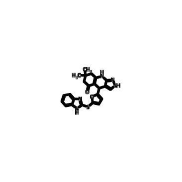 CC1(C)CC(=O)C2=C(C1)Nc1n[nH]cc1C2c1ccc(Sc2nc3ccccc3[nH]2)o1